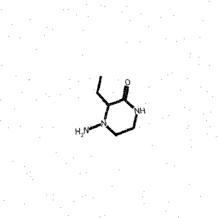 CCC1C(=O)NCCN1N